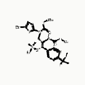 CC(C)(C)OC(=O)N[C@H](CN(C(=O)OC(C)(C)C)c1ncc(Br)s1)[C@@H](O[Si](C)(C)C(C)(C)C)c1ccc(C(C)(F)F)cc1